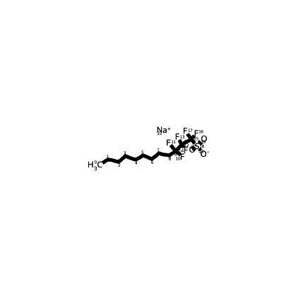 CCCCCCCCCC(F)(F)C(F)(F)C(F)(F)S(=O)(=O)[O-].[Na+]